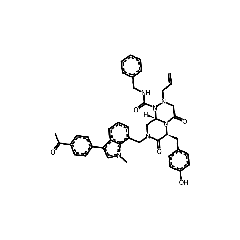 C=CCN1CC(=O)N2[C@@H](Cc3ccc(O)cc3)C(=O)N(Cc3cccc4c(-c5ccc(C(C)=O)cc5)cn(C)c34)C[C@@H]2N1C(=O)NCc1ccccc1